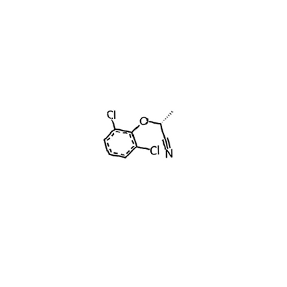 C[C@H](C#N)Oc1c(Cl)cccc1Cl